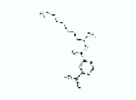 CCCCCCCC(C)OC(=O)c1cccc(C(=O)O)c1